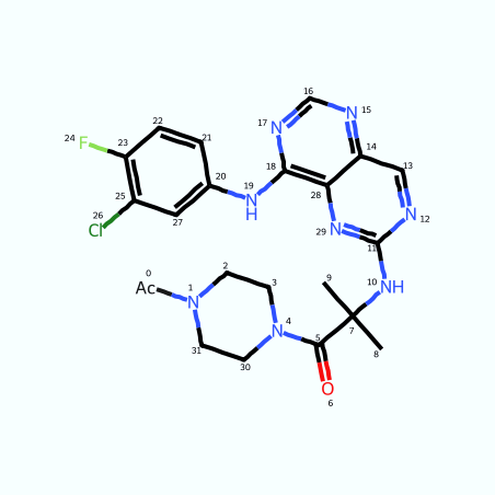 CC(=O)N1CCN(C(=O)C(C)(C)Nc2ncc3ncnc(Nc4ccc(F)c(Cl)c4)c3n2)CC1